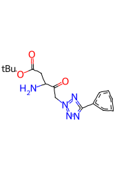 CC(C)(C)OC(=O)CC(N)C(=O)Cn1nnc(-c2ccccc2)n1